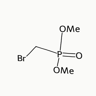 COP(=O)(CBr)OC